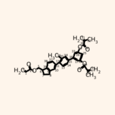 C=CC(=O)OCC1CCc2cc(-c3ccc(-c4cc(OC(=O)C(=C)C)cc(OC(=O)C(=C)C)c4)cc3C)ccc21